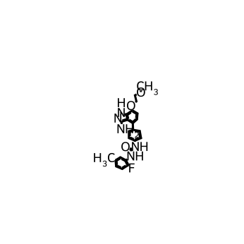 COCCOc1ccc(-c2ccc(NC(=O)Nc3cc(C)ccc3F)cc2)c2c(N)n[nH]c12